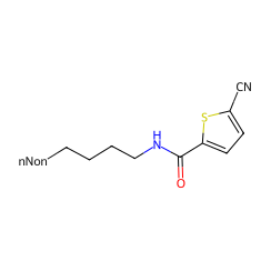 CCCCCCCCCCCCCNC(=O)c1ccc(C#N)s1